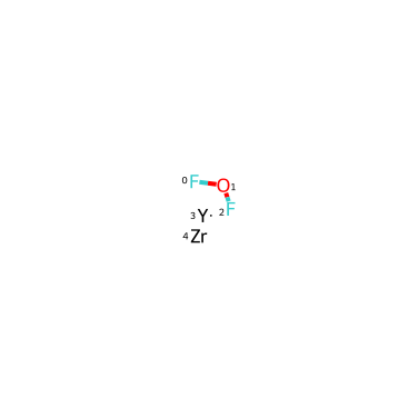 FOF.[Y].[Zr]